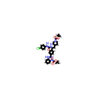 CC(C)(C)OC(=O)Nc1ccccc1NC(=O)c1ccc(C(CC2CCN(C(=O)OC(C)(C)C)CC2)NC(=O)Nc2ccc(Cl)cc2)cc1